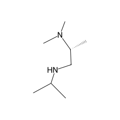 CC(C)NC[C@@H](C)N(C)C